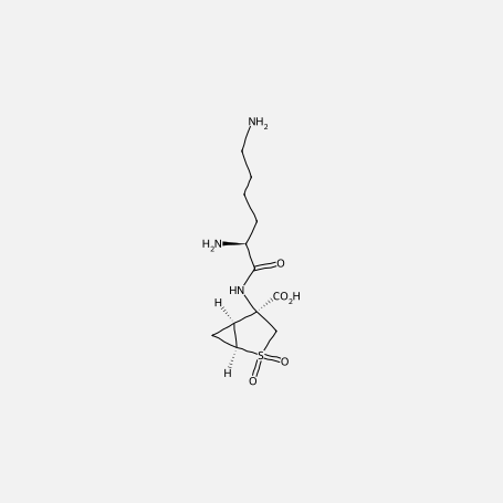 NCCCC[C@H](N)C(=O)N[C@@]1(C(=O)O)CS(=O)(=O)[C@H]2C[C@H]21